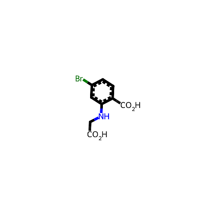 O=C(O)CNc1cc(Br)ccc1C(=O)O